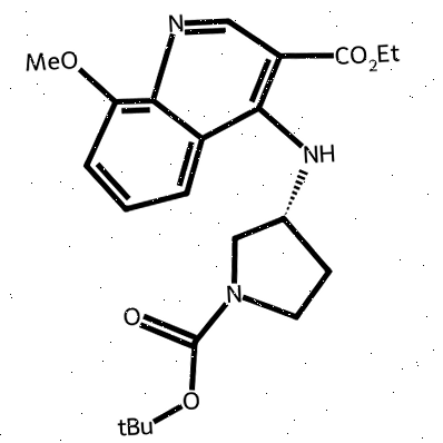 CCOC(=O)c1cnc2c(OC)cccc2c1N[C@@H]1CCN(C(=O)OC(C)(C)C)C1